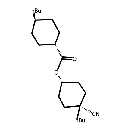 CCCC[C@H]1CC[C@H](C(=O)O[C@H]2CC[C@](C#N)(CCCC)CC2)CC1